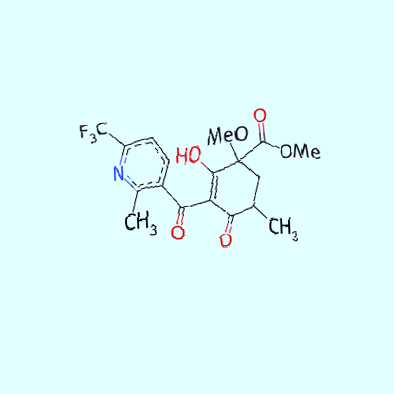 COC(=O)C1(OC)CC(C)C(=O)C(C(=O)c2ccc(C(F)(F)F)nc2C)=C1O